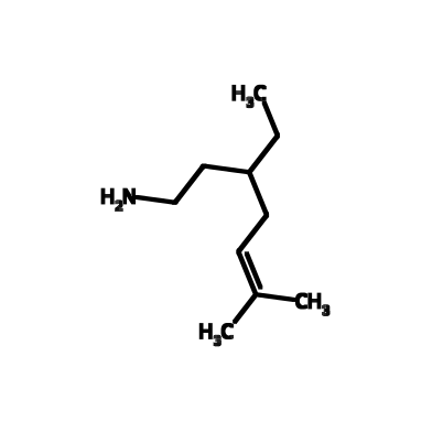 CCC(CC=C(C)C)CCN